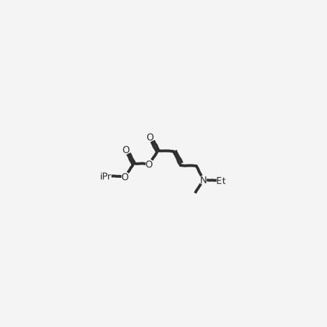 CCN(C)C/C=C/C(=O)OC(=O)OC(C)C